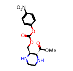 COC(=O)[C@@H]1NCCN[C@H]1COC(=O)Oc1ccc([N+](=O)[O-])cc1